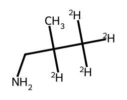 [2H]C([2H])([2H])C([2H])(C)CN